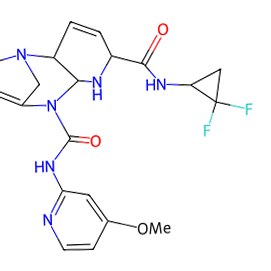 COc1ccnc(NC(=O)N2C3=CCN(C3)C3C=CC(C(=O)NC4CC4(F)F)NC32)c1